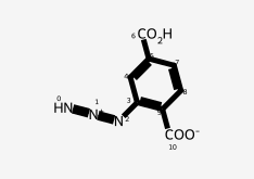 N=[N+]=Nc1cc(C(=O)O)ccc1C(=O)[O-]